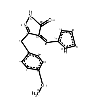 COc1ccc(CC2=NNC(=O)C2=Cc2ccc[nH]2)cc1